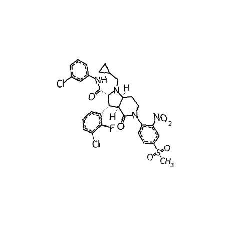 CS(=O)(=O)c1ccc(N2CC[C@H]3[C@@H](C2=O)[C@H](c2cccc(Cl)c2F)[C@H](C(=O)Nc2cccc(Cl)c2)N3CC2CC2)c([N+](=O)[O-])c1